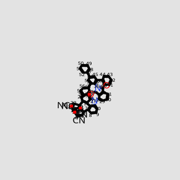 N#Cc1cc(C#N)cc(-c2cccc3c2c2c(-c4cc(C#N)cc(C#N)c4)cccc2n3-c2cccc3c2C(=O)N(c2c(-c4ccccc4)cc(-c4ccccc4)cc2-c2ccccc2)C3=O)c1